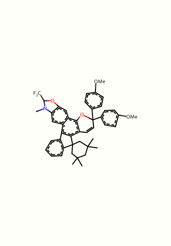 COc1ccc(C2(c3ccc(OC)cc3)C=Cc3c4c(c5cc6c(cc5c3O2)OC(C(F)(F)F)N6C)-c2ccccc2C42CC(C)(C)CC(C)(C)C2)cc1